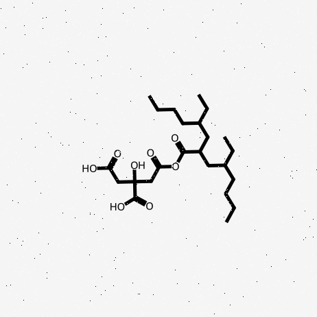 CCCCC(CC)CC(CC(CC)CCCC)C(=O)OC(=O)CC(O)(CC(=O)O)C(=O)O